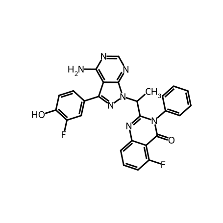 CC(c1nc2cccc(F)c2c(=O)n1-c1ccccc1)n1nc(-c2ccc(O)c(F)c2)c2c(N)ncnc21